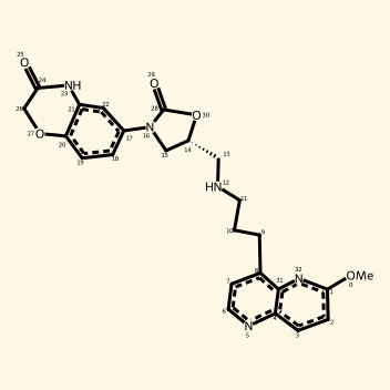 COc1ccc2nccc(CCCNC[C@@H]3CN(c4ccc5c(c4)NC(=O)CO5)C(=O)O3)c2n1